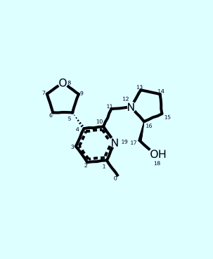 Cc1ccc([C@@H]2CCOC2)c(CN2CCC[C@H]2CO)n1